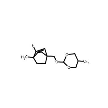 CC12CCC(COC3OCC(C(F)(F)F)CO3)(C=C1F)CC2